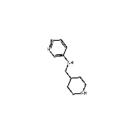 c1cc(NCC2CCNCC2)cnn1